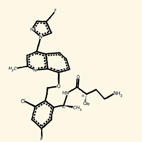 Cc1cc(-n2cc(F)cn2)c2cccc(OCc3c(Cl)cc(F)cc3[C@H](C)NC(=O)[C@@H](O)CCN)c2n1